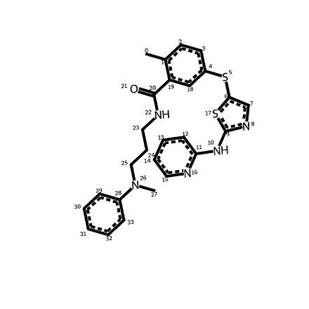 Cc1ccc(Sc2cnc(Nc3ccccn3)s2)cc1C(=O)NCCCN(C)c1ccccc1